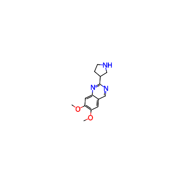 COc1cc2cnc(C3CCNC3)nc2cc1OC